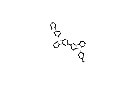 CC(C)(C)c1ccc(-n2c3ccccc3c3cc(-c4ccc5c(c4)c4ccccc4n5-c4ccc5c(c4)oc4ccccc45)ccc32)cc1